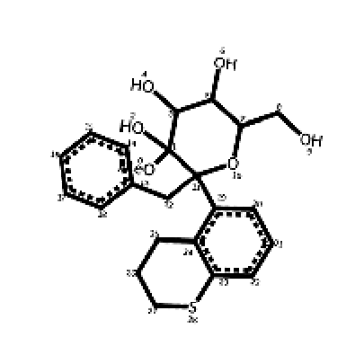 COC1(O)C(O)C(O)C(CO)OC1(Cc1ccccc1)c1cccc2c1CCCS2